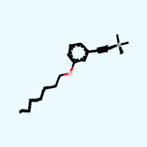 CCCCCCCOc1cccc(C#C[Si](C)(C)C)c1